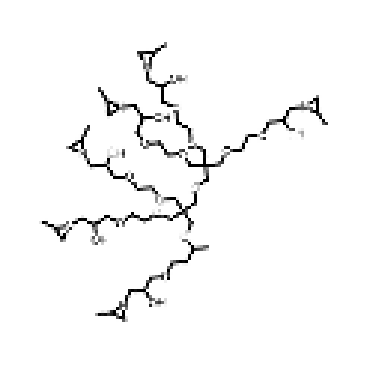 CC(CCOCC(O)CN1CC1C)OCC(COCCOCC(O)CN1CC1C)(COCCOCC(O)CN1CC1C)COCC(COCCOCC(O)CN1CC1C)(COCCOCC(O)CN1CC1C)COCCOCC(O)CN1CC1C